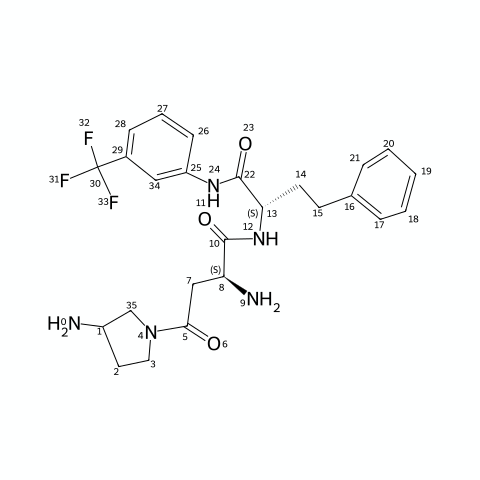 NC1CCN(C(=O)C[C@H](N)C(=O)N[C@@H](CCc2ccccc2)C(=O)Nc2cccc(C(F)(F)F)c2)C1